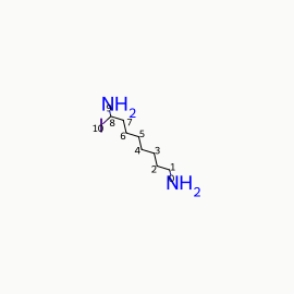 NCCCCCCCC(N)I